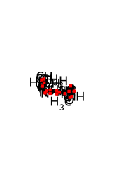 COC(=O)N[C@H]1CCc2cccc3c2N(C1=O)[C@H](c1ncc(-c2ccc(-c4ccc(-c5nnc([C@@H]6CCCN6C(=O)[C@@H](NC(=O)OC)C(C)C)[nH]5)cc4)cc2)[nH]1)C3